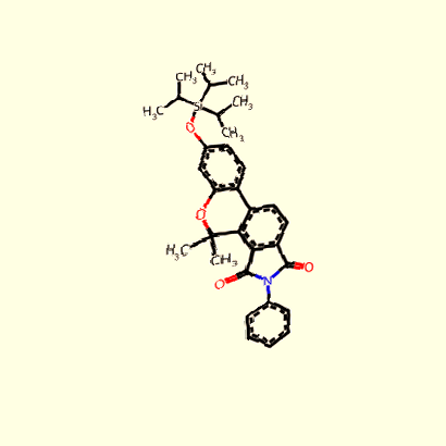 CC(C)[Si](Oc1ccc2c(c1)OC(C)(C)c1c-2ccc2c1C(=O)N(c1ccccc1)C2=O)(C(C)C)C(C)C